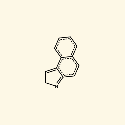 C1=c2c(ccc3ccccc23)=NC1